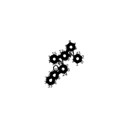 c1ccc(-n2c3ccccc3c3cc4c5ccccc5n(-c5cccc6c5oc5cc7ccccc7cc56)c4cc32)cc1